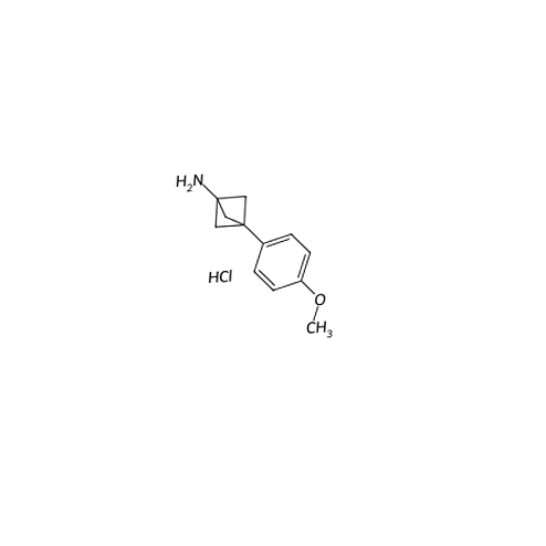 COc1ccc(C23CC(N)(C2)C3)cc1.Cl